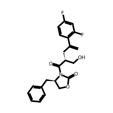 C=C(C[C@H](CO)C(=O)N1C(=O)OC[C@H]1Cc1ccccc1)c1ccc(F)cc1F